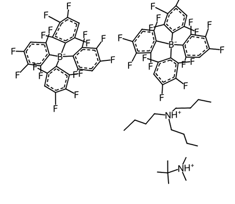 CCCC[NH+](CCCC)CCCC.C[NH+](C)C(C)(C)C.Fc1cc(F)c([B-](c2c(F)cc(F)c(F)c2F)(c2c(F)cc(F)c(F)c2F)c2c(F)cc(F)c(F)c2F)c(F)c1F.Fc1cc(F)c([B-](c2c(F)cc(F)c(F)c2F)(c2c(F)cc(F)c(F)c2F)c2c(F)cc(F)c(F)c2F)c(F)c1F